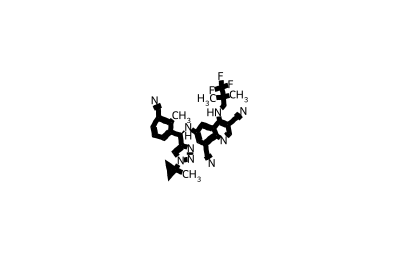 Cc1c(C#N)cccc1[C@H](Nc1cc(C#N)c2ncc(C#N)c(NCC(C)(C)C(F)(F)F)c2c1)c1cn(C2(C)CC2)nn1